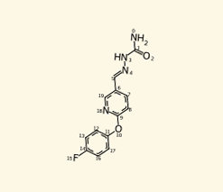 NC(=O)NN=Cc1ccc(Oc2ccc(F)cc2)nc1